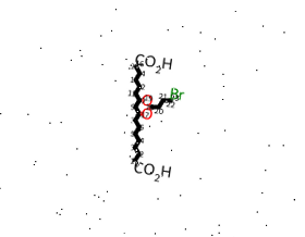 O=C(O)CCCCCCCC(CCCCCCCC(=O)O)OC(=O)CCCBr